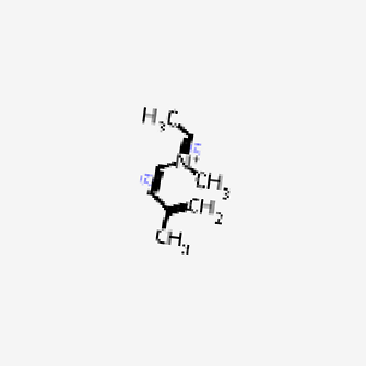 C=C(C)/C=C\[N+](C)=C/C